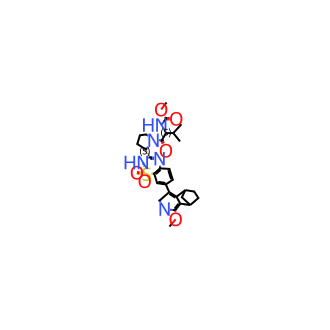 COC(=O)N[C@H](C(=O)N1CCC[C@H]1C1=Nc2ccc(-c3cnc(OC)c4c3C3CCC4C3)cc2S(=O)(=O)N1)C(C)C